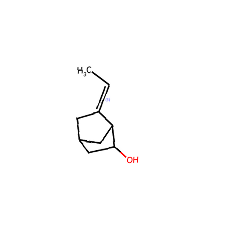 C/C=C1\CC2CC(O)C1C2